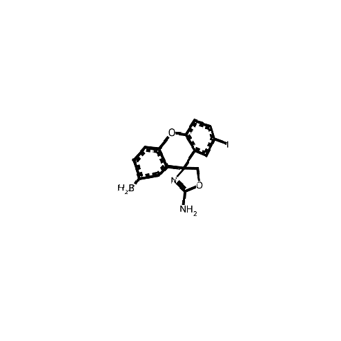 Bc1ccc2c(c1)C1(COC(N)=N1)c1cc(I)ccc1O2